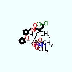 CC1(C)C(C=C(Cl)Cl)C1C(=O)OCc1cccc(Oc2ccccc2)c1.COP(=O)(NC(C)=O)SC